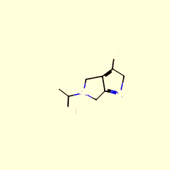 CC1=C2CN(C(C)C)CC2=NC1